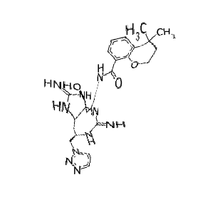 CC1(C)CCOc2c(C(=O)NC3CN4C(=N)N[C@@H](Cn5ccnn5)C5NC(=N)NC54[C@@H]3O)cccc21